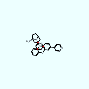 CC12CCC(CC(N3c4ccccc4Oc4cc(-c5ccncc5)ccc43)C1)N2c1ccccn1